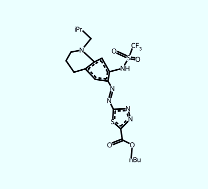 CCCCOC(=O)c1nnc(N=Nc2cc3c(cc2NS(=O)(=O)C(F)(F)F)N(CC(C)C)CCC3)s1